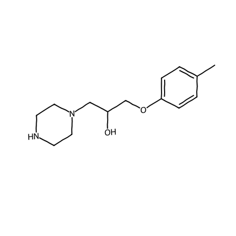 Cc1ccc(OCC(O)CN2CCNCC2)cc1